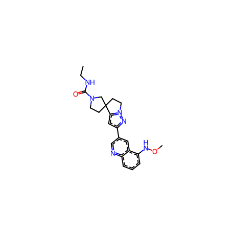 CCNC(=O)N1CCC2(CCn3nc(-c4cnc5cccc(NOC)c5c4)cc32)C1